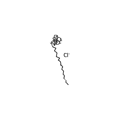 CCCCCCCCCCCCCCCCCC[N+](C)(C)C[Si](OC)(OC)OC.[Cl-]